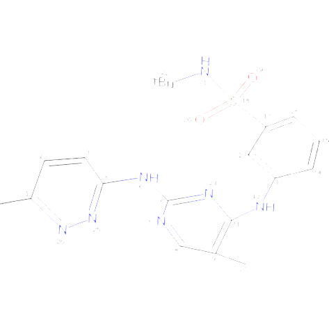 Cc1ccc(Nc2ncc(C)c(Nc3cccc(S(=O)(=O)NC(C)(C)C)c3)n2)nn1